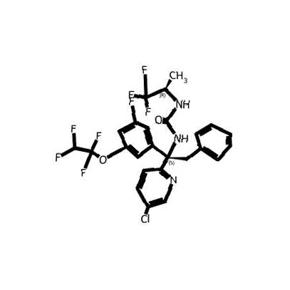 C[C@@H](NC(=O)N[C@@](Cc1ccccc1)(c1cc(F)cc(OC(F)(F)C(F)F)c1)c1ccc(Cl)cn1)C(F)(F)F